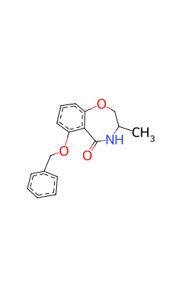 CC1COc2cccc(OCc3ccccc3)c2C(=O)N1